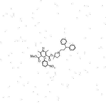 COC(=O)C1=C(C)NC(C)=C(C(=O)OC2(C)CCN(CCC(c3ccccc3)c3ccccc3)C2)[C@H]1c1cccc([N+](=O)[O-])c1